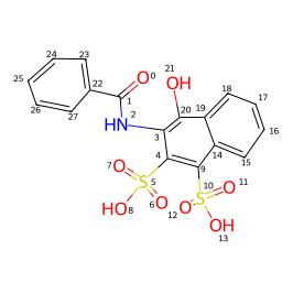 O=C(Nc1c(S(=O)(=O)O)c(S(=O)(=O)O)c2ccccc2c1O)c1ccccc1